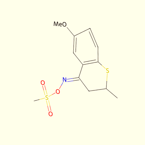 COc1ccc2c(c1)/C(=N/OS(C)(=O)=O)CC(C)S2